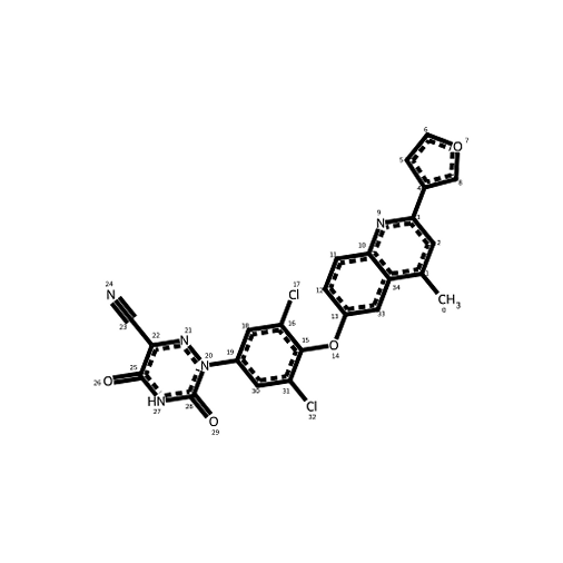 Cc1cc(-c2ccoc2)nc2ccc(Oc3c(Cl)cc(-n4nc(C#N)c(=O)[nH]c4=O)cc3Cl)cc12